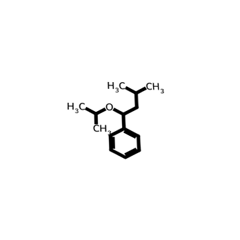 CC(C)CC(OC(C)C)c1ccccc1